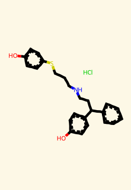 Cl.Oc1ccc(SCCCNCCC(c2ccccc2)c2ccc(O)cc2)cc1